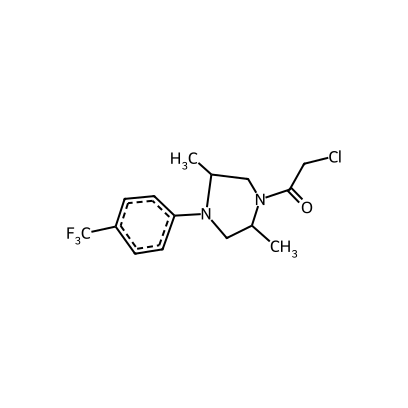 CC1CN(c2ccc(C(F)(F)F)cc2)C(C)CN1C(=O)CCl